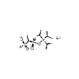 CC(C)[Si](OS(=O)(=O)C(C)S(=O)(=O)[O-])(C(C)C)C(C)C.[Li+]